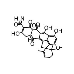 COc1cc(O)c2c(O)c3c(c4c2c1[C@@]1(C4)C(C)=CCCC1(C)C)C(=O)[C@H]1CC(O)=C(C(N)=O)C(=O)[C@@]1(O)C3=O